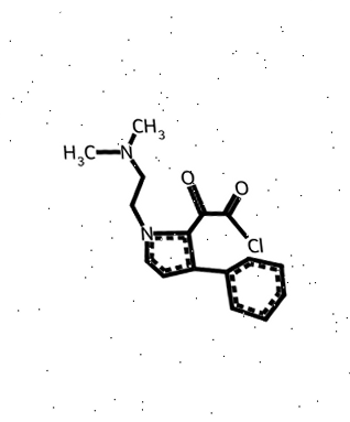 CN(C)CCn1ccc(-c2ccccc2)c1C(=O)C(=O)Cl